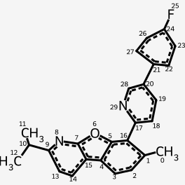 Cc1ccc2c(oc3nc(C(C)C)ccc32)c1-c1ccc(-c2ccc(F)cc2)cn1